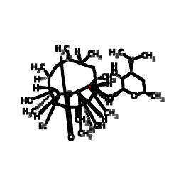 C=C1CO[C@@H]2[C@@H](C)CN(C)[C@H](C)C[C@@](C)(OC1)[C@H](O[C@@H]1O[C@H](C)C[C@H](N(C)C)[C@H]1O)[C@@H](C)[C@H](O)[C@@H](C)C(=O)O[C@H](CC)[C@@]2(C)O